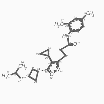 Cc1ccc(NC(=O)CCc2noc([C@H]3C[C@@H](CC(C)C)C3)c2C2CC2)c(C)c1